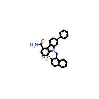 Cc1ccc2ccccc2c1Cn1c2cc(-c3ccccc3)c[c]c2c2c(C(N)=O)cccc21